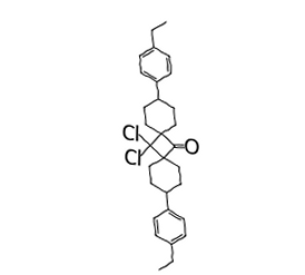 CCc1ccc(C2CCC3(CC2)C(=O)C2(CCC(c4ccc(CC)cc4)CC2)C3(Cl)Cl)cc1